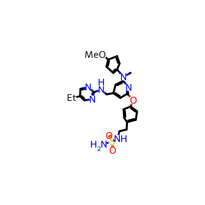 CCc1cnc(NCc2cc(Oc3ccc(CCNS(N)(=O)=O)cc3)nc(N(C)c3ccc(OC)cc3)c2)nc1